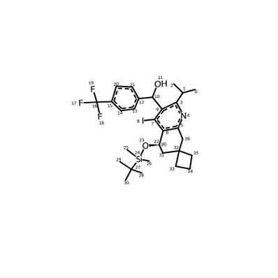 CC(C)c1nc2c(c(I)c1C(O)c1ccc(C(F)(F)F)cc1)[C@H](O[Si](C)(C)C(C)(C)C)CC1(CCC1)C2